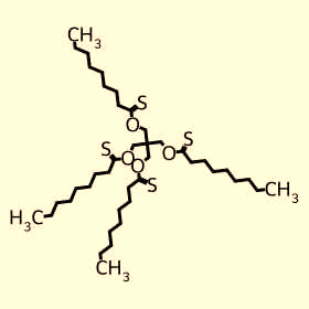 CCCCCCCCC(=S)OCC(COC(=S)CCCCCCCC)(COC(=S)CCCCCCCC)COC(=S)CCCCCCCC